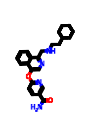 NC(=O)c1ccc(Oc2cnc(CNCCC3CCCCC3)c3ccccc23)nc1